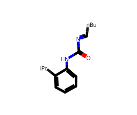 CCCCC=NC(=O)Nc1ccccc1C(C)C